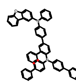 c1ccc(-c2ccc(N(c3ccc(-c4ccccc4)cc3)c3ccc(-c4ccc(N(c5ccccc5)c5ccc6oc7ccccc7c6c5)cc4)cc3-c3ccccc3)cc2)cc1